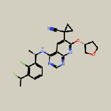 CC(F)c1cccc([C@@H](C)Nc2ncnc3nc(O[C@@H]4CCOC4)c(C4(C#N)CC4)cc23)c1F